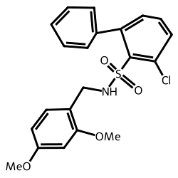 COc1ccc(CNS(=O)(=O)c2c(Cl)cccc2-c2ccccc2)c(OC)c1